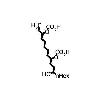 C=CC(=CCCCCC(CCC(O)CCCCCC)OC(=O)O)OC(=O)O